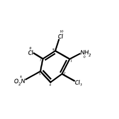 Nc1c(Cl)cc([N+](=O)[O-])c(Cl)c1Cl